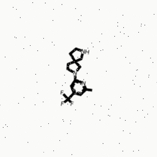 Cc1cc(C(F)(F)F)cc(N2CCC3(CCNC3)C2)n1